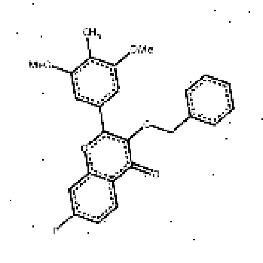 COc1cc(-c2oc3cc(I)ccc3c(=O)c2OCc2ccccc2)cc(OC)c1C